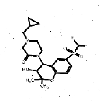 CC1(C)Oc2ccc(S(=O)(=O)C(F)F)cc2C(N2CCN(CC3CC3)CC2=O)C1O